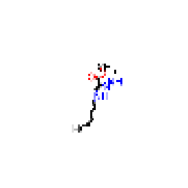 C#CCCCCN/C=C(\N=N)C(=O)OC